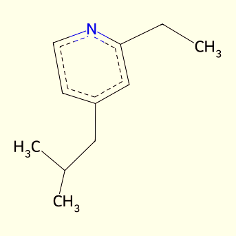 CCc1cc(CC(C)C)ccn1